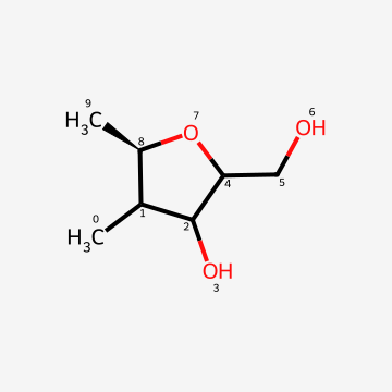 CC1C(O)C(CO)O[C@@H]1C